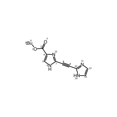 CC(C)(C)OC(=O)c1c[nH]c(C#Cc2ncc[nH]2)n1